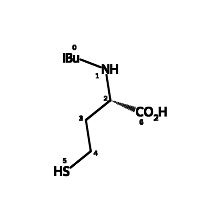 CCC(C)N[C@@H](CCS)C(=O)O